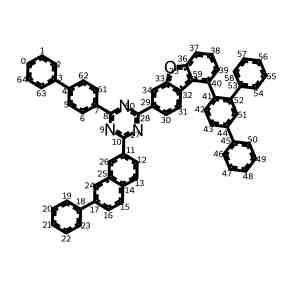 c1ccc(-c2ccc(-c3nc(-c4ccc5ccc(-c6ccccc6)cc5c4)nc(-c4ccc5c(c4)oc4cccc(-c6ccc(-c7ccccc7)cc6-c6ccccc6)c45)n3)cc2)cc1